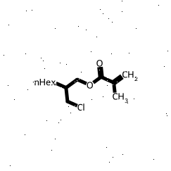 [CH2]CCCC[CH]C(CCl)COC(=O)C(=C)C